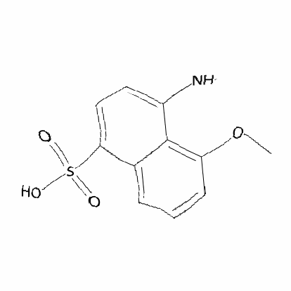 COc1cccc2c(S(=O)(=O)O)ccc([NH])c12